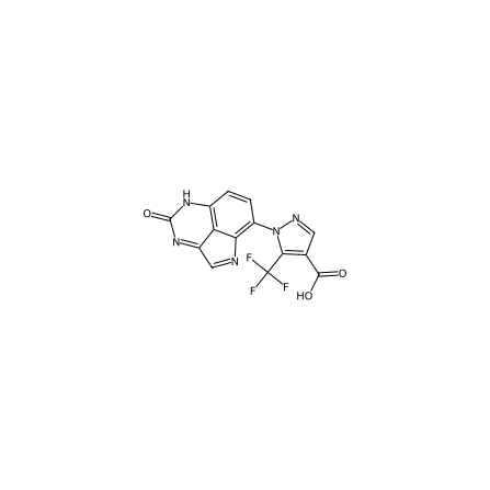 O=C(O)c1cnn(-c2ccc3[nH]c(=O)nc4c3c2N=C4)c1C(F)(F)F